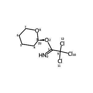 N=C(O[C@H]1CCCCO1)C(Cl)(Cl)Cl